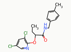 CCC(Oc1ncc(Cl)cc1Cl)C(=O)NCc1ccc(C)cc1